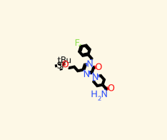 CC(C)(C)[Si](C)(C)OCCCc1cn(Cc2ccc(F)cc2)c(=O)c(N2CCC(C(N)=O)CC2)n1